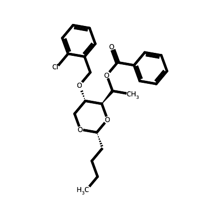 CCCC[C@@H]1OC[C@H](OCc2ccccc2Cl)[C@@H](C(C)OC(=O)c2ccccc2)O1